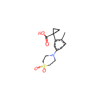 Cc1ccc(N2CCS(=O)(=O)CC2)cc1C1(C(=O)O)CC1